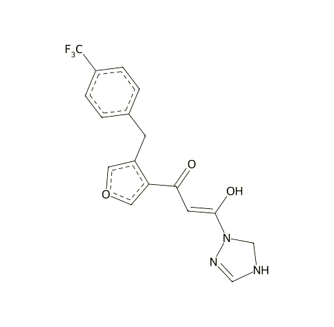 O=C(C=C(O)N1CNC=N1)c1cocc1Cc1ccc(C(F)(F)F)cc1